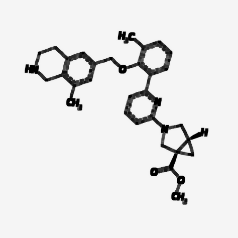 COC(=O)[C@]12C[C@H]1CN(c1cccc(-c3cccc(C)c3OCc3cc(C)c4c(c3)CCNC4)n1)C2